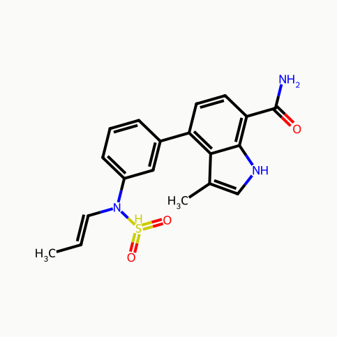 CC=CN(c1cccc(-c2ccc(C(N)=O)c3[nH]cc(C)c23)c1)[SH](=O)=O